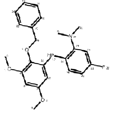 COc1cc(OC)c(OCc2ccccc2)c(Pc2ccc(F)cc2N(C)C)c1